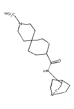 O=C(NC1CN2CCC1CC2)C1CCC2(CC1)CCN(C(=O)O)CC2